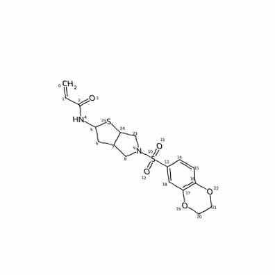 C=CC(=O)NC1CC2CN(S(=O)(=O)c3ccc4c(c3)OCCO4)CC2S1